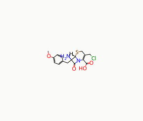 COc1ccc(C[C@@]2(N)C(=O)N3C(C(=O)O)=C(CCl)CS[C@H]32)cc1